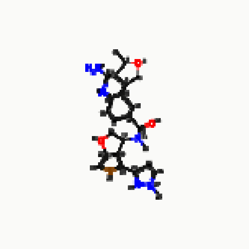 CC1OCc2c1c(N)nc1ccc(C(=O)N(C)C3COc4csc(-c5ccn(C)n5)c43)cc21